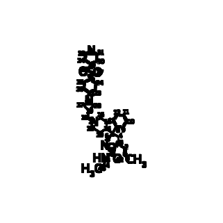 CCC[C@H](CC(C#N)(c1ccccc1)C1CCN(CC2CN(c3ccc(S(=O)(=O)c4ccncc4)cc3)C2)CC1)OC(=O)NCC